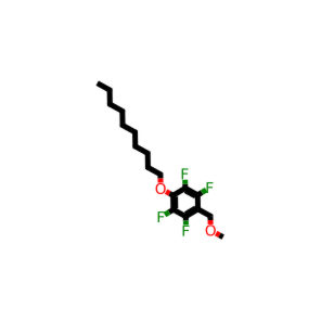 CCCCCCCCCCOc1c(F)c(F)c(COC)c(F)c1F